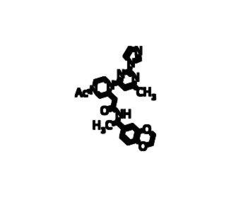 CC(=O)N1CCN(c2cc(C)nc(-n3ccnc3)n2)C(CC(=O)NC(C)c2ccc3c(c2)OCCO3)C1